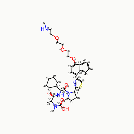 CNCCOCCOCCOc1ccc(-c2csc(C3CCCN3C(=O)[C@@H](NC(=O)C(C)N(C)C(=O)O)C3CCCCC3)n2)c2ccccc12